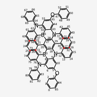 c1ccc(Oc2cc3c4c(c2)N(c2ccccc2)c2c(c(-c5ccccc5)c5c(c2-c2ccccc2)N(c2ccccc2)c2cc(Oc6ccccc6)cc6c2B5c2ccccc2N6c2ccccc2)B4c2ccccc2N3c2ccccc2)cc1